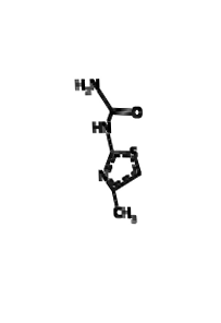 Cc1csc(NC(N)=O)n1